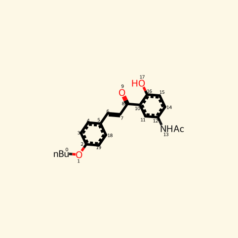 CCCCOc1ccc(/C=C/C(=O)c2cc(NC(C)=O)ccc2O)cc1